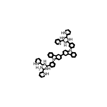 NC(NC(NCC1C=CC=CN1)c1cccc(N2C3=CC=C(C4=CC=C5C(C4)c4ccccc4N5c4cccc(C5NC(C6=CC=CCN6)NC(c6ccccn6)N5)c4)CC3c3ccccc32)c1)C1=CC=CCN1